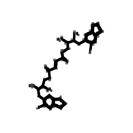 CC(Cc1cc2occc2cc1F)C(N)COC(=O)/C=C/C(=O)OCC(N)C(C)Cc1cc2occc2cc1F